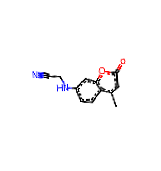 Cc1cc(=O)oc2cc(NCC#N)ccc12